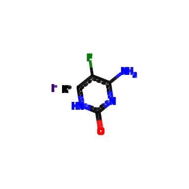 Nc1nc(=O)[nH]cc1F.[I-].[K+]